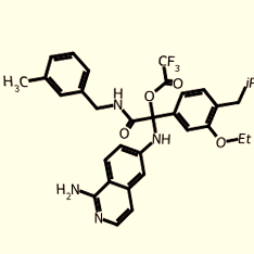 CCOc1cc(C(Nc2ccc3c(N)nccc3c2)(OC(=O)C(F)(F)F)C(=O)NCc2cccc(C)c2)ccc1CC(C)C